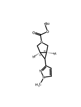 Cn1ccc(C2[C@H]3CN(C(=O)OC(C)(C)C)C[C@@H]23)n1